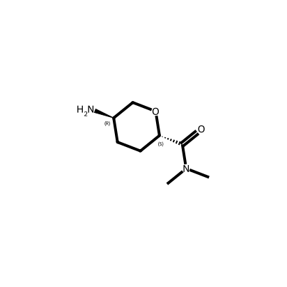 CN(C)C(=O)[C@@H]1CC[C@@H](N)CO1